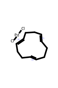 C1=C/CC/C=C/CC/C=C/CC/1.[Cl][Pd][Cl]